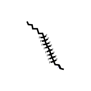 C/C=C/CC(F)(F)C(F)(F)C(F)(F)C(F)(F)C(F)(F)C(F)(F)C(F)(F)C(F)(F)CCCCCCC